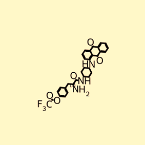 N[C@@H](Cc1ccc(OC(=O)C(F)(F)F)cc1)C(=O)NC1CCC(Nc2cccc3c2C(=O)c2ccccc2C3=O)CC1